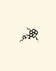 CCCCc1ccc2nc3c4c5cc(CCCC)c6ccc7ccc8c(CCCC)cc(c4c(=O)n3c2n1)c1c8c7c6c51